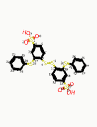 O=S(=O)(O)c1ccc(SSc2ccc(S(=O)(=O)O)cc2Sc2ccccc2)c(Sc2ccccc2)c1